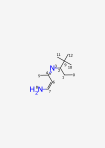 CCC(/N=C(C)\C=C/N)C(C)(C)C